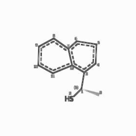 C[C@H](S)c1cccc2ccccc12